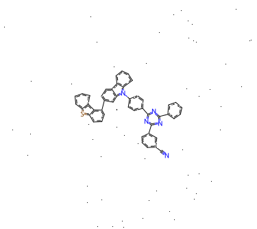 N#Cc1cccc(-c2nc(-c3ccccc3)nc(-c3ccc(-n4c5ccccc5c5ccc(-c6cccc7sc8ccccc8c67)cc54)cc3)n2)c1